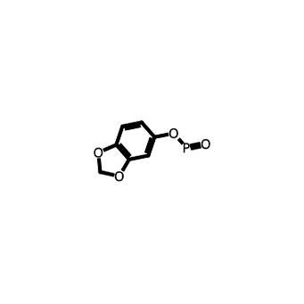 O=POc1ccc2c(c1)OCO2